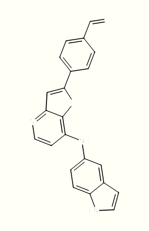 O=Cc1ccc(-c2cc3nccc(Nc4ccc5[nH]ccc5c4)c3s2)cc1